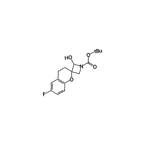 CC(C)(C)OC(=O)N1CC2(CCc3cc(F)ccc3O2)C1O